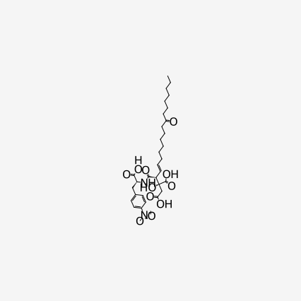 CCCCCCCC(=O)CCCCCC/C=C/[C@H](C(=O)N[C@@H](Cc1ccc([N+](=O)[O-])cc1)C(=O)O)[C@@](O)(CC(=O)O)C(=O)O